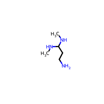 CNC(CCN)NC